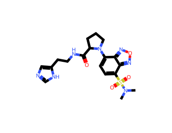 CN(C)S(=O)(=O)c1ccc(N2CCCC2C(=O)NCCc2cnc[nH]2)c2nonc12